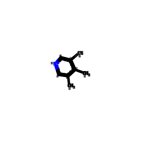 Cc1cncc(C#N)c1C